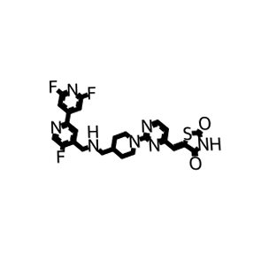 O=C1NC(=O)/C(=C/c2ccnc(N3CCC(CNCc4cc(-c5cc(F)nc(F)c5)ncc4F)CC3)n2)S1